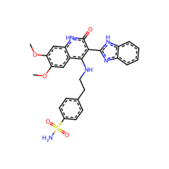 COc1cc2[nH]c(=O)c(-c3nc4ccccc4[nH]3)c(NCCc3ccc(S(N)(=O)=O)cc3)c2cc1OC